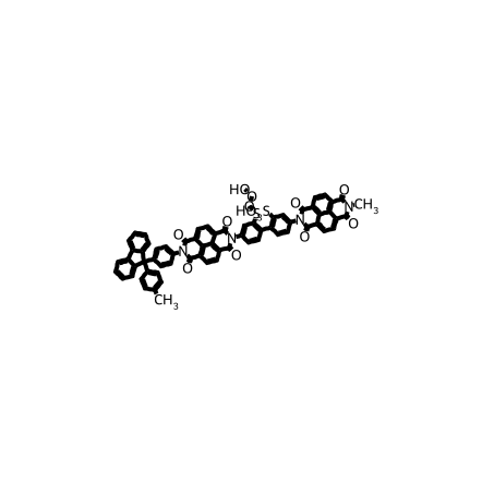 Cc1ccc(C2(c3ccc(N4C(=O)c5ccc6c7c(ccc(c57)C4=O)C(=O)N(c4ccc(-c5ccc(N7C(=O)c8ccc9c%10c(ccc(c8%10)C7=O)C(=O)N(C)C9=O)cc5S(=O)(=O)O)c(SOOO)c4)C6=O)cc3)c3ccccc3-c3ccccc32)cc1